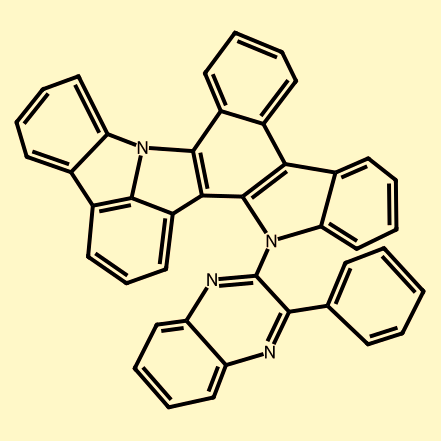 c1ccc(-c2nc3ccccc3nc2-n2c3ccccc3c3c4ccccc4c4c(c5cccc6c7ccccc7n4c65)c32)cc1